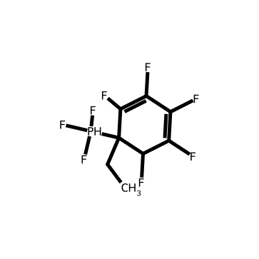 CCC1([PH](F)(F)F)C(F)=C(F)C(F)=C(F)C1F